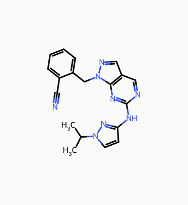 CC(C)n1ccc(Nc2ncc3cnn(Cc4ccccc4C#N)c3n2)n1